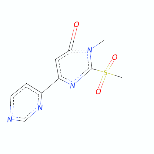 Cn1c(S(C)(=O)=O)nc(-c2ccncn2)cc1=O